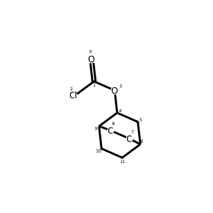 O=C(Cl)OC1CC2CCC1CC2